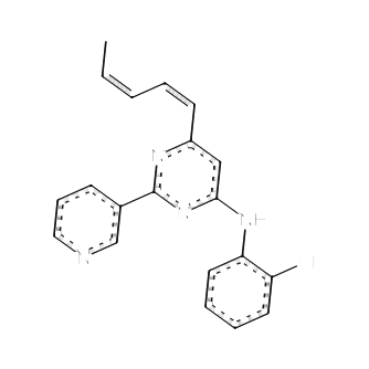 C/C=C\C=C/c1cc(Nc2ccccc2Cl)nc(-c2cccnc2)n1